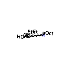 CCCCCCCC/C=C\CCCCCCCCOCC(O)CO.CCOCC